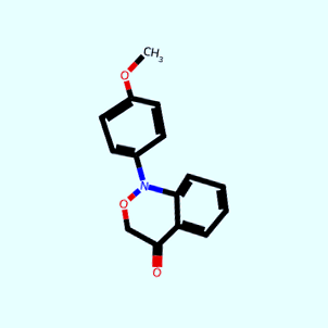 COc1ccc(N2OCC(=O)c3ccccc32)cc1